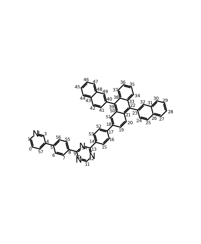 c1cncc(-c2ccc(-c3ncnc(-c4ccc(-c5ccc6c(-c7ccc8ccccc8c7)c7ccccc7c(-c7ccc8ccccc8c7)c6c5)cc4)n3)cc2)c1